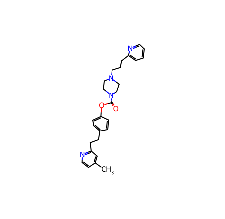 Cc1ccnc(CCc2ccc(OC(=O)N3CCN(CCCc4ccccn4)CC3)cc2)c1